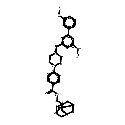 CCOc1cccc(-c2cc(CN3CCN(c4ccc(C(=O)NCC56CC7CC(CC(C7)C5)C6)cc4)CC3)cc(OC(F)(F)F)c2)c1